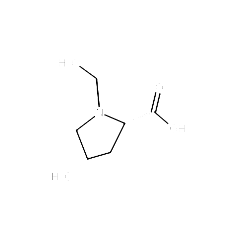 CCN1C[C@@H](C)C[C@H]1C(=O)O